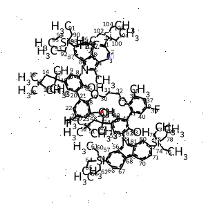 C=C(/C=C\c1c(C)n(-c2cc(C(C)(C)CC(C)(C)C)cc(-c3cc(F)cc(C)c3OCCCOc3c(C)cc(F)cc3-c3cc(C(C)(C)CC(C)(C)C)cc(-n4c5cc([Si](CC)(CC)CC)ccc5c5ccc([Si](CC)(CC)CC)cc54)c3O)c2O)c2cc([Si](CC)(CC)CC)ccc12)[Si](CC)(CC)CC